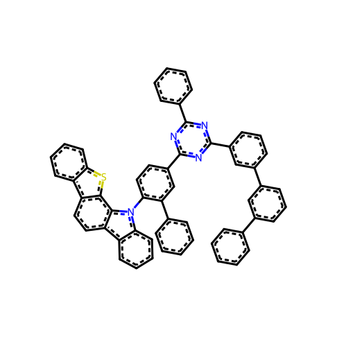 c1ccc(-c2cccc(-c3cccc(-c4nc(-c5ccccc5)nc(-c5ccc(-n6c7ccccc7c7ccc8c9ccccc9sc8c76)c(-c6ccccc6)c5)n4)c3)c2)cc1